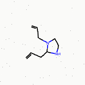 C=CCC1NCCN1CC=C